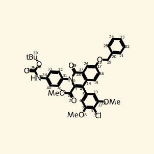 COC(=O)c1c(-c2cc(OC)c(Cl)c(OC)c2)c2ccc(OCc3ccccc3)cc2c(=O)n1-c1ccc(NC(=O)OC(C)(C)C)cc1